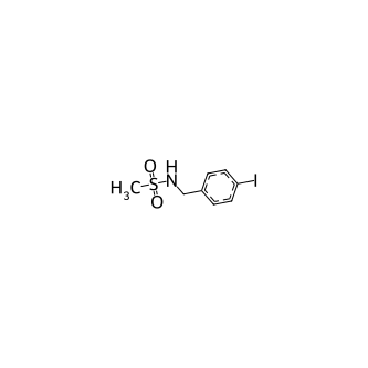 CS(=O)(=O)NCc1ccc(I)cc1